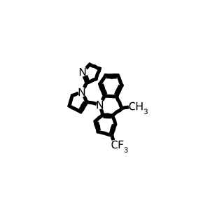 CC1c2ccccc2N(C2=CCCN2C2=NCCC2)c2ccc(C(F)(F)F)cc21